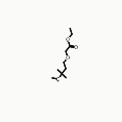 CCOC(=O)COCCC(C)(C)OC